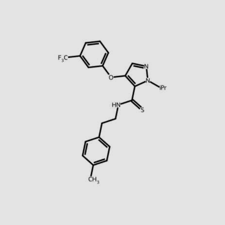 Cc1ccc(CCNC(=S)c2c(Oc3cccc(C(F)(F)F)c3)cnn2C(C)C)cc1